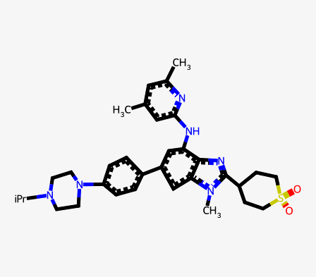 Cc1cc(C)nc(Nc2cc(-c3ccc(N4CCN(C(C)C)CC4)cc3)cc3c2nc(C2CCS(=O)(=O)CC2)n3C)c1